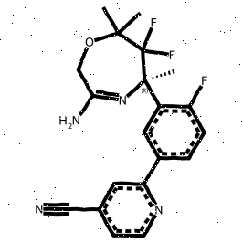 CC1(C)OCC(N)=N[C@](C)(c2cc(-c3cc(C#N)ccn3)ccc2F)C1(F)F